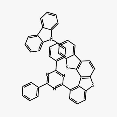 c1ccc(-c2nc(-c3ccccc3)nc(-c3cccc4sc5ccc6c7ccc(-n8c9ccccc9c9ccccc98)cc7sc6c5c34)n2)cc1